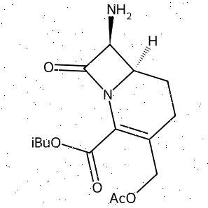 CC(=O)OCC1=C(C(=O)OCC(C)C)N2C(=O)[C@@H](N)[C@H]2CC1